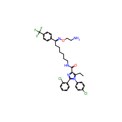 CCc1c(C(=O)NCCCCCCC(=NOCCN)c2ccc(C(F)(F)F)cc2)nc(-c2ccccc2Cl)n1-c1ccc(Cl)cc1